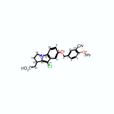 CC(C)Oc1ccc(COc2ccc3c(c2)c(Cl)c2n3CCC2CC(=O)O)cc1C#N